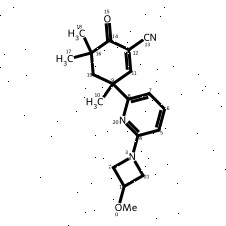 COC1CN(c2cccc(C3(C)C=C(C#N)C(=O)C(C)(C)C3)n2)C1